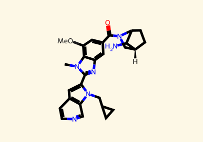 COc1cc(C(=O)N2C[C@H]3CCC2C3N)cc2nc(-c3cc4ccncc4n3CC3CC3)n(C)c12